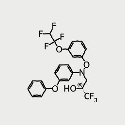 O[C@H](CN(Oc1cccc(OC(F)(F)C(F)F)c1)c1cccc(Oc2ccccc2)c1)C(F)(F)F